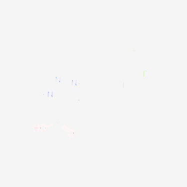 O=C(O)c1cn(CCCC(F)(F)F)nn1